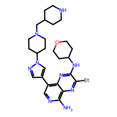 CCc1nc2c(N)ncc(-c3cnn(C4CCN(CC5CCNCC5)CC4)c3)c2nc1NC1CCOCC1